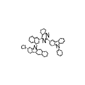 Clc1ccc2c3cc4ccccc4cc3n(-c3cc(-c4nc(-c5ccc6c(c5)c5ccccc5n6-c5ccccc5)nc5ccccc45)cc4ccccc34)c2c1